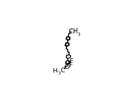 CCCOc1ccc(C2=CCC(/C=C/CCc3ccc(-c4ccc(CCC)cc4)cc3)CC2)c(F)c1F